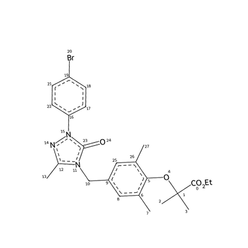 CCOC(=O)C(C)(C)Oc1c(C)cc(Cn2c(C)nn(-c3ccc(Br)cc3)c2=O)cc1C